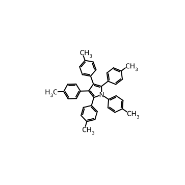 Cc1ccc(-c2c(-c3ccc(C)cc3)c(-c3ccc(C)cc3)n(-c3ccc(C)cc3)c2-c2ccc(C)cc2)cc1